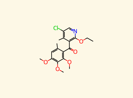 CCOc1ncc(Cl)c(C)c1C(=O)c1c(C)cc(OC)c(OC)c1OC